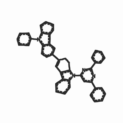 C1=C(c2ccc3c(c2)c2ccccc2n3-c2ccccc2)CCc2c1c1ccccc1n2-c1cc(-c2ccccc2)nc(-c2ccccc2)n1